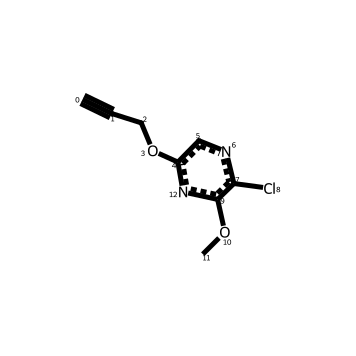 C#CCOc1cnc(Cl)c(OC)n1